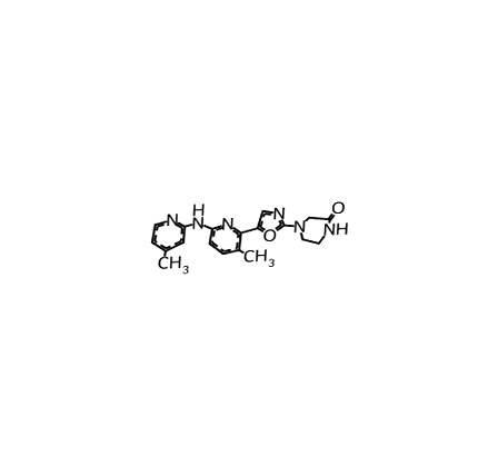 Cc1ccnc(Nc2ccc(C)c(-c3cnc(N4CCNC(=O)C4)o3)n2)c1